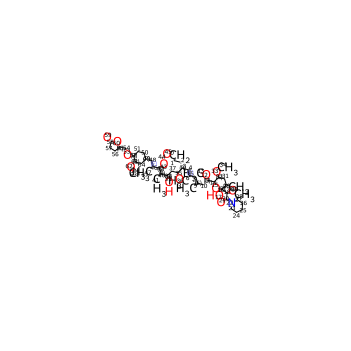 C=CC[C@H](/C=C(\C)C[C@H](C)C[C@H](OC)C1O[C@@](O)(C(=O)C(=O)N2CCCCC2C)[C@H](C)C[C@@H]1OC)C(=O)C[C@H](O)[C@@H](C)[C@H](OC=O)/C(C)=C/[C@@H]1CC[C@@H](OC[C@H]2CCC(=O)O2)[C@H](OC)C1